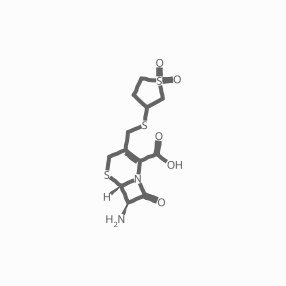 N[C@@H]1C(=O)N2C(C(=O)O)=C(CSC3CCS(=O)(=O)C3)CS[C@@H]12